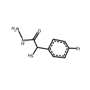 CCc1ccc(C(S)C(=O)NN)cc1